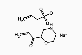 C=CC(=O)C1CNCCO1.C=CCS(=O)(=O)[O-].[Na+]